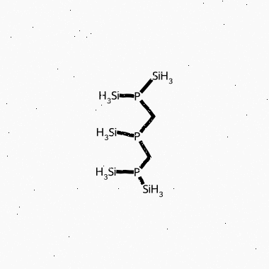 [SiH3]P([SiH3])CP([SiH3])CP([SiH3])[SiH3]